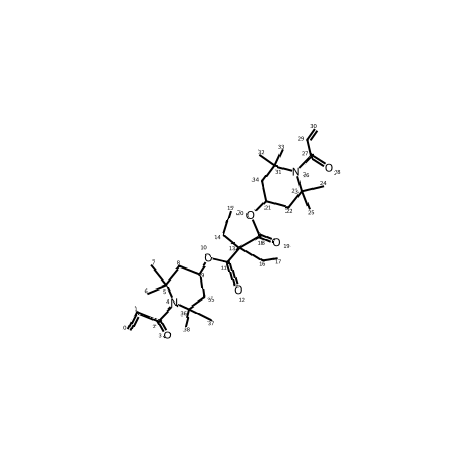 C=CC(=O)N1C(C)(C)CC(OC(=O)C(CC)(CC)C(=O)OC2CC(C)(C)N(C(=O)C=C)C(C)(C)C2)CC1(C)C